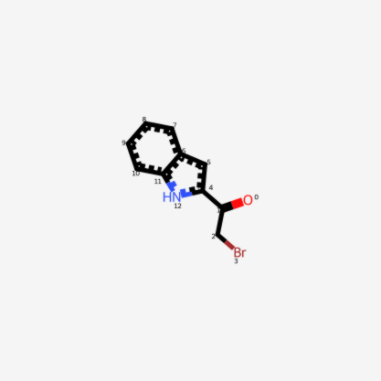 O=C(CBr)c1cc2ccccc2[nH]1